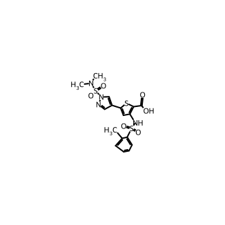 Cc1ccccc1S(=O)(=O)Nc1cc(-c2cnn(S(=O)(=O)N(C)C)c2)sc1C(=O)O